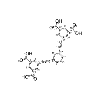 O=C(O)c1cc(C#Cc2cccc(C#Cc3cc(C(=O)O)cc(C(=O)O)c3)c2)cc(C(=O)O)c1